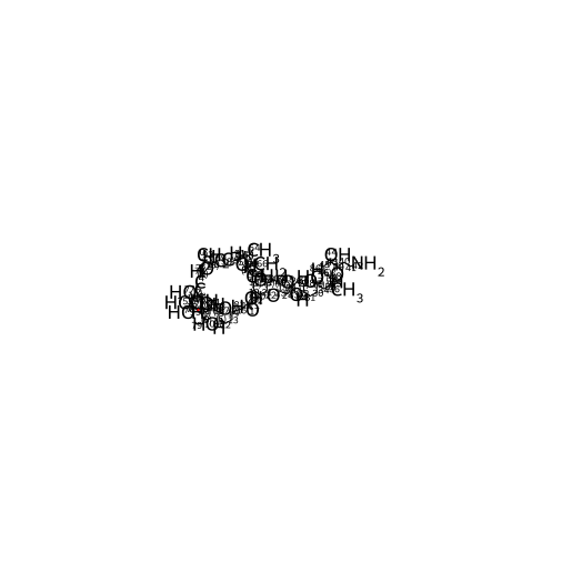 C=C1C[C@@H]2CC[C@]34OC([C@@H]5O[C@H]6CC[C@H](CC(=O)O[C@@H]7CC8OC9C[C@]%10(C[C@@H]%11O[C@@]%12(CC[C@@H]%11O%10)C[C@H](C)[C@@H]%10O[C@H](CCN)[C@H](O)C[C@@H]%10O%12)O[C@@H]9C[C@@H]8O[C@H]7C[C@H]7O[C@@H](CC[C@@H]1O2)C[C@@H](C)C7=C)O[C@@H]6[C@H](O3)[C@@H]5I)C(O)(O)[C@H]4O